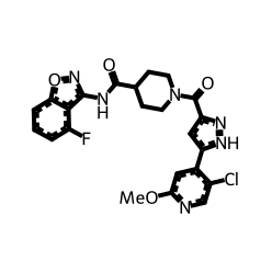 COc1cc(-c2cc(C(=O)N3CCC(C(=O)Nc4noc5cccc(F)c45)CC3)n[nH]2)c(Cl)cn1